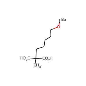 CCCCOCCCCCC(C)(C(=O)O)C(=O)O